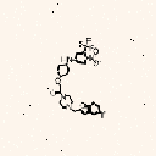 O=C(COC1CCC(Nc2ccc([N+](=O)[O-])c(C(F)(F)F)c2)CC1)N1CCN(Cc2cc3cc(F)ccc3o2)CC1